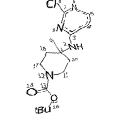 CC1(Nc2ccnc(Cl)n2)CCN(C(=O)OC(C)(C)C)CC1